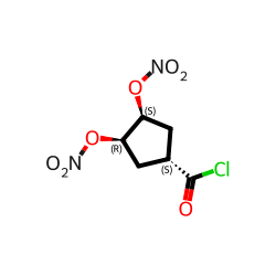 O=C(Cl)[C@H]1C[C@H](O[N+](=O)[O-])[C@H](O[N+](=O)[O-])C1